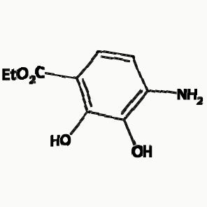 CCOC(=O)c1ccc(N)c(O)c1O